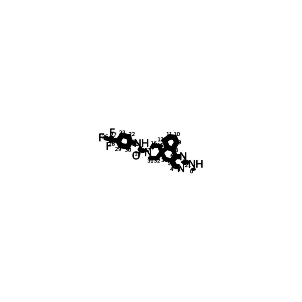 CNc1ncc2c(n1)-c1ccccc1C1(CCN(C(=O)Nc3ccc(C(F)(F)F)cc3)CC1)C2